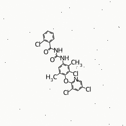 Cc1cc(NC(=O)NC(=O)c2ccccc2Cl)c(C)c(Cl)c1Oc1ncc(Cl)cc1Cl